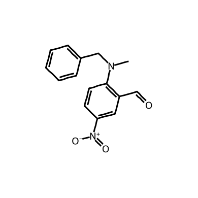 CN(Cc1ccccc1)c1ccc([N+](=O)[O-])cc1C=O